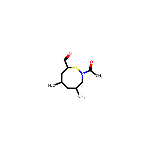 CC(=O)N1CC(C)CC(C)CC(C=O)S1